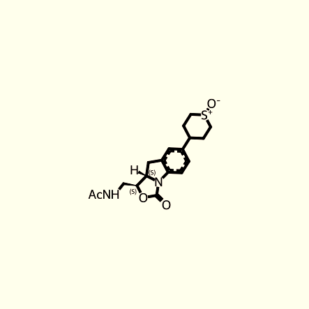 CC(=O)NC[C@@H]1OC(=O)N2c3ccc(C4CC[S+]([O-])CC4)cc3C[C@@H]12